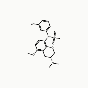 COc1ccc(N(c2cccc(Cl)c2)S(C)(=O)=O)c2c1C[C@@H](N(C)C)CO2